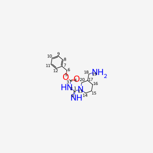 N=C(NC(=O)OCc1ccccc1)N1CCCC(CN)C1